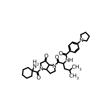 CC(C)CC(NC(=O)c1ccc(N2CCCC2)cc1)C(=O)N1CCC2C1C(=O)CN2C(=O)C1(N)CCCCC1